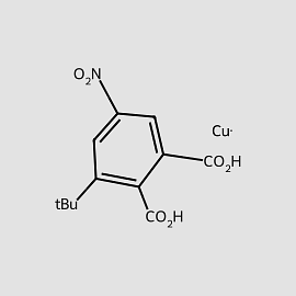 CC(C)(C)c1cc([N+](=O)[O-])cc(C(=O)O)c1C(=O)O.[Cu]